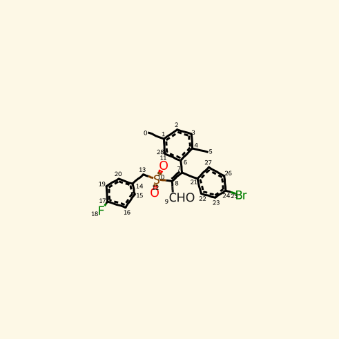 Cc1ccc(C)c(C(=C(C=O)S(=O)(=O)Cc2ccc(F)cc2)c2ccc(Br)cc2)c1